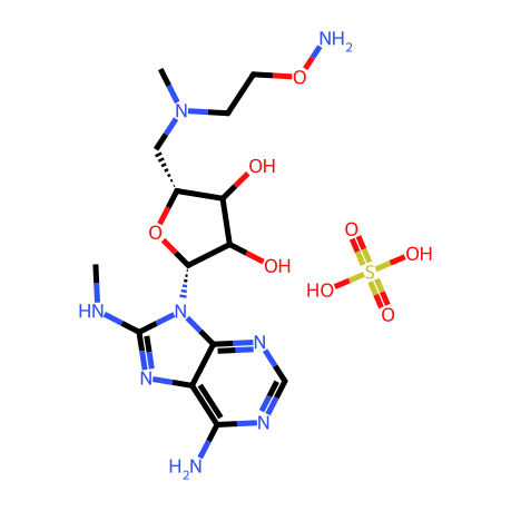 CNc1nc2c(N)ncnc2n1[C@@H]1O[C@H](CN(C)CCON)C(O)C1O.O=S(=O)(O)O